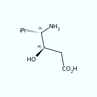 CC(C)[C@H](N)[C@H](O)CC(=O)O